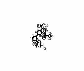 CC(=O)N1c2ccc(-c3cccc(S(N)(=O)=O)c3)cc2N(C(=O)C2CCC2)C[C@@H]1C